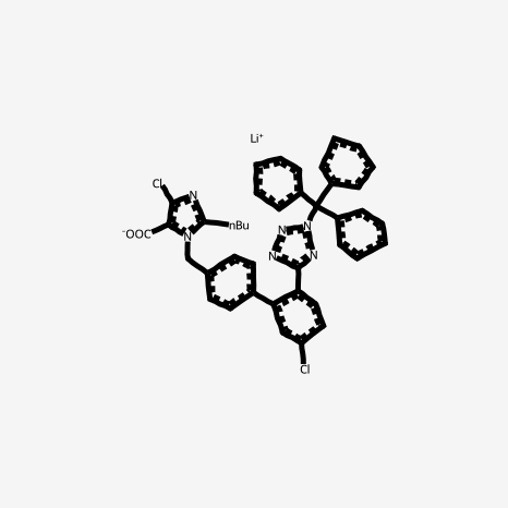 CCCCc1nc(Cl)c(C(=O)[O-])n1Cc1ccc(-c2cc(Cl)ccc2-c2nnn(C(c3ccccc3)(c3ccccc3)c3ccccc3)n2)cc1.[Li+]